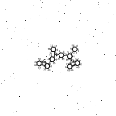 c1ccc(-c2cc(-c3ccc(N(c4ccccc4)c4ccc(-c5cccc6c5sc5ccccc56)cc4)cc3)cc(-n3c4ccccc4c4ccccc43)c2)cc1